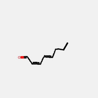 CCCC=C/C=C\C=O